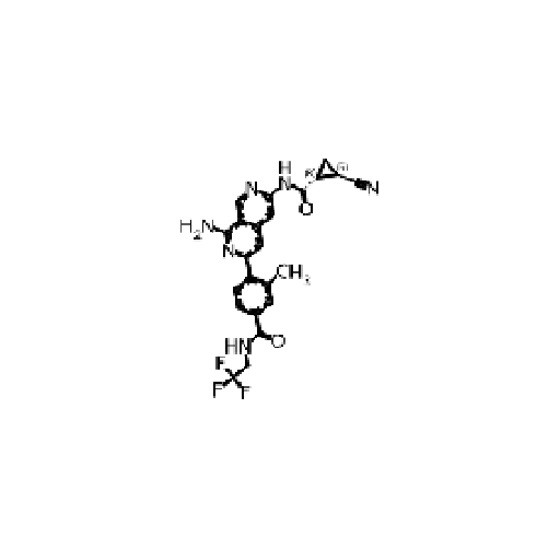 Cc1cc(C(=O)NCC(F)(F)F)ccc1-c1cc2cc(NC(=O)[C@@H]3C[C@H]3C#N)ncc2c(N)n1